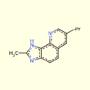 Cc1nc2ccc3cc(C(C)C)cnc3c2[nH]1